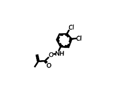 C=C(C)C(=O)ONc1ccc(Cl)c(Cl)c1